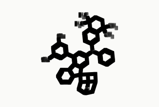 CC(C)(C)c1cc(-c2cc(N(c3ccccc3)c3ccc4c(c3)C(C)(C)CCC4(C)C)cc3c2C2C=CC=CC2C32C3CC4CC5CC2C53C4)cc(C(C)(C)C)c1